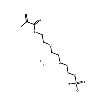 C=C(C)C(=O)OCCOCCOCCOP(=O)([O-])[O-].[Li+].[Li+]